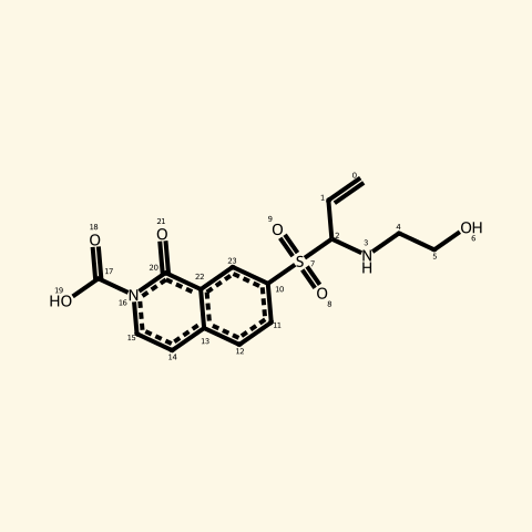 C=CC(NCCO)S(=O)(=O)c1ccc2ccn(C(=O)O)c(=O)c2c1